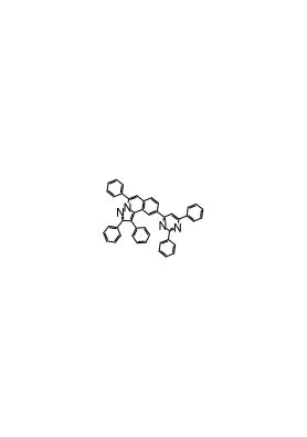 c1ccc(-c2cc(-c3ccc4cc(-c5ccccc5)n5nc(-c6ccccc6)c(-c6ccccc6)c5c4c3)nc(-c3ccccc3)n2)cc1